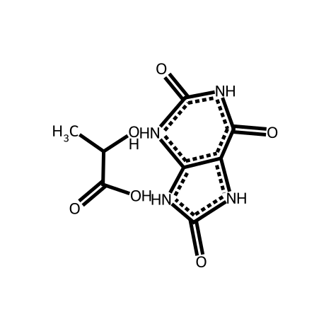 CC(O)C(=O)O.O=c1[nH]c(=O)c2[nH]c(=O)[nH]c2[nH]1